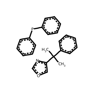 CC(C)(c1ccccc1)c1cocn1.c1ccc([P]c2ccccc2)cc1